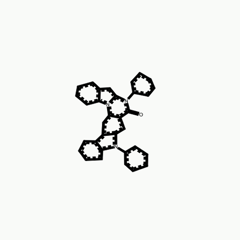 O=c1c2cc3c(cc2n2c4ccccc4cc2n1-c1ccccc1)c1ccccc1n3-c1ccccc1